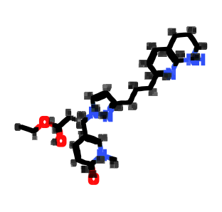 CCOC(=O)C[C@@H](c1ccc(=O)n(C)c1)n1ccc(CCCc2ccc3c(n2)NCCC3)n1